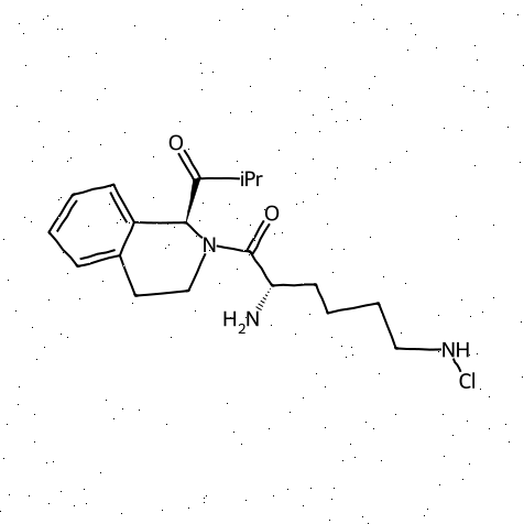 CC(C)C(=O)[C@@H]1c2ccccc2CCN1C(=O)[C@@H](N)CCCCNCl